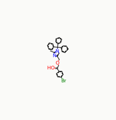 Cc1nc(COC[C@H](O)c2ccc(Br)cc2)cn1C(c1ccccc1)(c1ccccc1)c1ccccc1